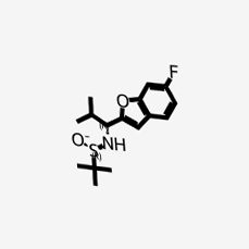 CC(C)[C@@H](N[S@@+]([O-])C(C)(C)C)c1cc2ccc(F)cc2o1